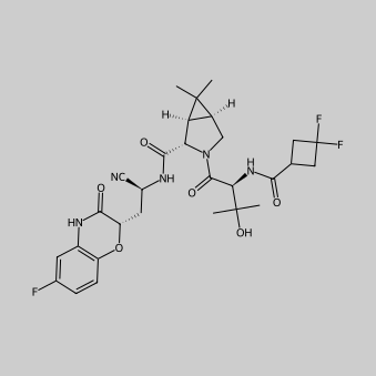 CC(C)(O)[C@H](NC(=O)C1CC(F)(F)C1)C(=O)N1C[C@H]2[C@@H]([C@H]1C(=O)N[C@H](C#N)C[C@@H]1Oc3ccc(F)cc3NC1=O)C2(C)C